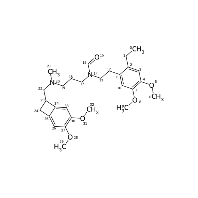 CCc1cc(OC)c(OC)cc1CCN(C=O)CCCN(C)CC1Cc2cc(OC)c(OC)cc21